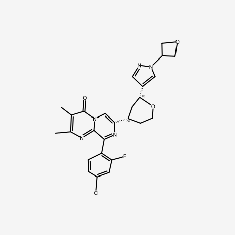 Cc1nc2c(-c3ccc(Cl)cc3F)nc([C@H]3CCO[C@@H](c4cnn(C5COC5)c4)C3)cn2c(=O)c1C